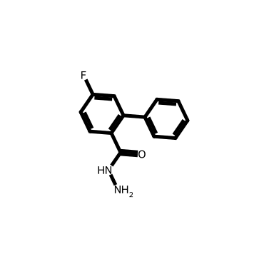 NNC(=O)c1ccc(F)cc1-c1ccccc1